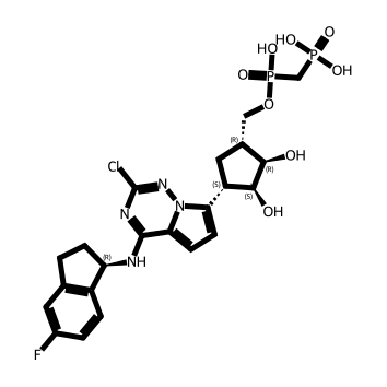 O=P(O)(O)CP(=O)(O)OC[C@H]1C[C@@H](c2ccc3c(N[C@@H]4CCc5cc(F)ccc54)nc(Cl)nn23)[C@H](O)[C@@H]1O